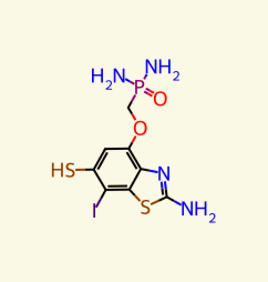 Nc1nc2c(OCP(N)(N)=O)cc(S)c(I)c2s1